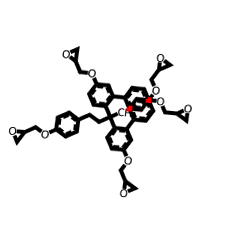 CC(CCc1ccc(OCC2CO2)cc1)(c1ccc(OCC2CO2)cc1-c1ccc(OCC2CO2)cc1)c1ccc(OCC2CO2)cc1-c1ccc(OCC2CO2)cc1